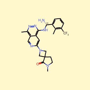 Cc1c([C@@H](N)Nc2nnc(C)c3cnc(N4CC5(CCN(C)C5=O)C4)cc23)cccc1C(F)(F)F